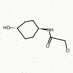 O=C(CCl)N[C@H]1CC[C@H](O)CC1